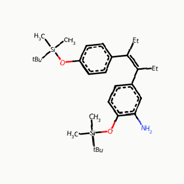 CCC(=C(CC)c1ccc(O[Si](C)(C)C(C)(C)C)c(N)c1)c1ccc(O[Si](C)(C)C(C)(C)C)cc1